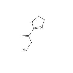 C=C(CC(C)(C)C)C1=NCCO1